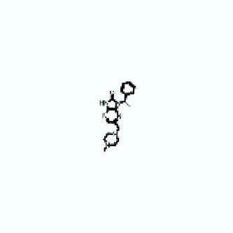 C[C@@H](c1ccccc1)n1c(=O)[nH]c2ncc(CN3CCN(C)CC3)nc21